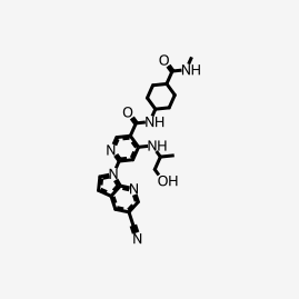 CNC(=O)C1CCC(NC(=O)c2cnc(-n3ccc4cc(C#N)cnc43)cc2NC(C)CO)CC1